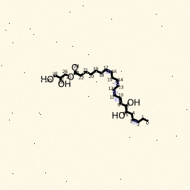 CC/C=C\CC(O)C(O)/C=C/C=C\C=C/C/C=C\CCCCCC(=O)OCC(O)CO